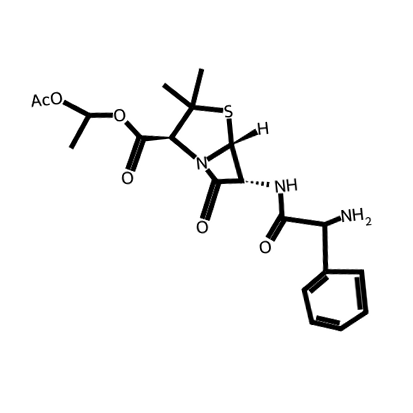 CC(=O)OC(C)OC(=O)[C@@H]1N2C(=O)[C@@H](NC(=O)C(N)c3ccccc3)[C@H]2SC1(C)C